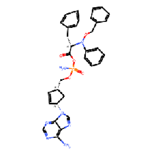 Nc1ncnc2c1ncn2[C@@H]1C=C[C@H](COP(N)(=O)OC(=O)[C@H](Cc2ccccc2)N(OCc2ccccc2)c2ccccc2)C1